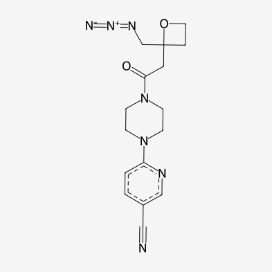 N#Cc1ccc(N2CCN(C(=O)CC3(CN=[N+]=[N-])CCO3)CC2)nc1